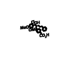 COc1cc(Cl)c([C@@H](O)[C@@H](CCCc2ccccc2)Cc2ccc(CC(=O)O)cc2)cc1OC